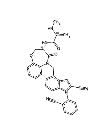 CN[C@@H](C)C(=O)N[C@H]1COc2ccccc2N(Cc2cccc3c2cc(C#N)n3-c2ccccc2C#N)C1=O